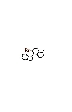 Cc1cccc2c(C3C=Cc4ccccc43)c(Br)ccc12